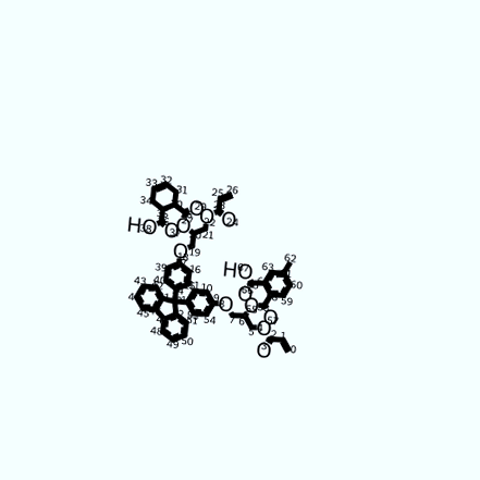 C=CC(=O)OCC(COc1ccc(C2(c3ccc(OCC(COC(=O)C=C)OC(=O)C4CC=CCC4C(=O)O)cc3)c3ccccc3-c3ccccc32)cc1)OC(=O)c1ccc(C)cc1C(=O)O